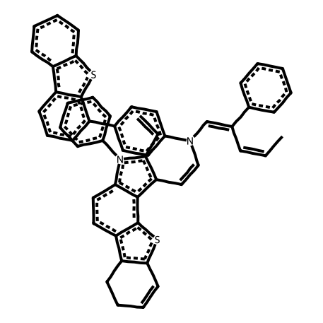 C=Cc1c(/C=C\N(/C=C(\C=C/C)c2ccccc2)c2ccc(-c3cccc4c3sc3ccccc34)cc2)c2c3sc4c(c3ccc2n1-c1ccccc1)CCC=C4